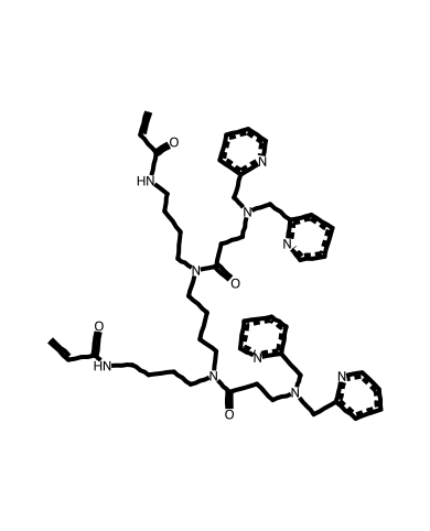 C=CC(=O)NCCCCN(CCCCN(CCCCNC(=O)C=C)C(=O)CCN(Cc1ccccn1)Cc1ccccn1)C(=O)CCN(Cc1ccccn1)Cc1ccccn1